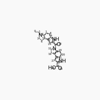 CCN1CCc2c1ccc1[nH]c(C(=O)N3CCc4c3ccc3[nH]c(C(=O)O)cc43)cc21